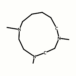 CN1CCCCCN(C)CCN(C)CC1